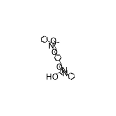 Cc1oc(-c2ccccc2)nc1COc1ccc(COc2nn(-c3ccccc3)cc2CO)cc1